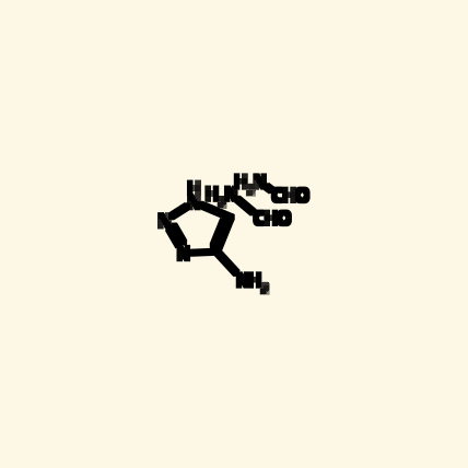 NC=O.NC=O.Nc1c[nH]nn1